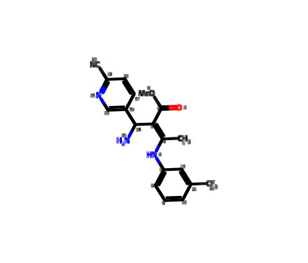 COC(=O)/C(=C(\C)Nc1cccc(C(F)(F)F)c1)C(N)c1ccc(C#N)nc1